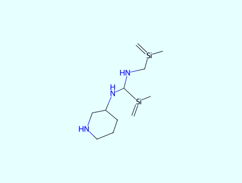 C=[Si](C)CNC(NC1CCCNC1)[Si](=C)C